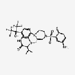 CC(C)C1C(=O)NCCN1C[C@H]1CN(S(=O)(=O)C2=CC(N)=CCC2=S)CCN1c1ncc(C(O)(C(F)(F)F)C(F)(F)F)cn1